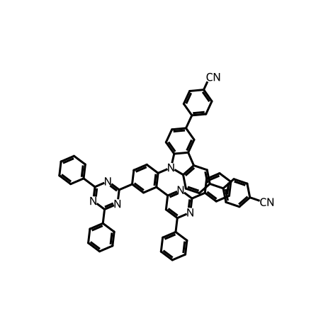 N#Cc1ccc(-c2ccc3c(c2)c2cc(-c4ccc(C#N)cc4)ccc2n3-c2ccc(-c3nc(-c4ccccc4)nc(-c4ccccc4)n3)cc2-c2cc(-c3ccccc3)nc(-c3ccccc3)n2)cc1